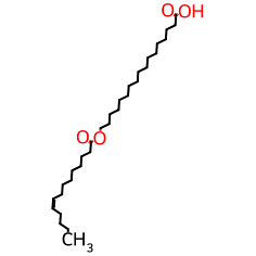 CCCC/C=C\CCCCCCCC(=O)OCCCCCCCCCCCCCCCCC(=O)O